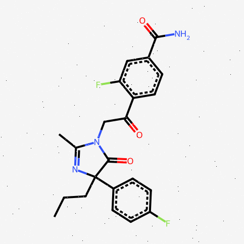 CCCC1(c2ccc(F)cc2)N=C(C)N(CC(=O)c2ccc(C(N)=O)cc2F)C1=O